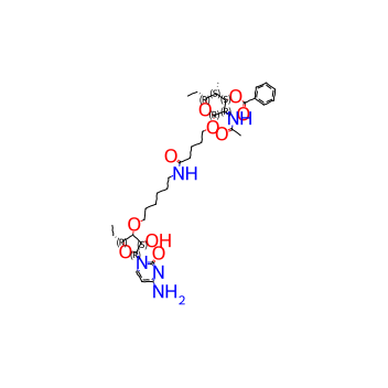 CC[C@H]1O[C@@H](n2ccc(N)nc2=O)[C@@H](O)C1OCCCCCCNC(=O)CCCCO[C@@H]1O[C@H](CC)[C@H](C)[C@H](OC(=O)c2ccccc2)[C@H]1NC(C)=O